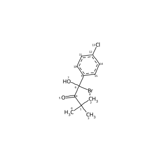 CC(C)(C)C(=O)C(O)(Br)c1ccc(Cl)cc1